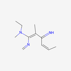 C=N/C(=C(/C)C(=N)/C=C\C)N(C)CC